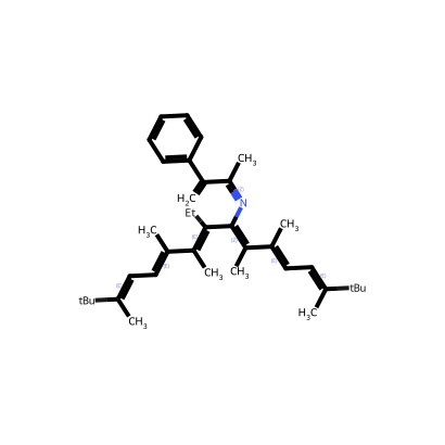 C=C(\C(C)=N/C(=C(C)\C(C)=C\C=C(/C)C(C)(C)C)C(/CC)=C(C)/C(C)=C/C=C(\C)C(C)(C)C)c1ccccc1